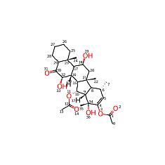 CC(=O)OC1=C[C@@H](C)C2[C@@H]([C@H](OC(C)=O)C3[C@H]4C([C@@H](O)C[C@@]32C)[C@@]2(C)CCCCC2C(=O)[C@@H]4O)[C@@]1(C)O